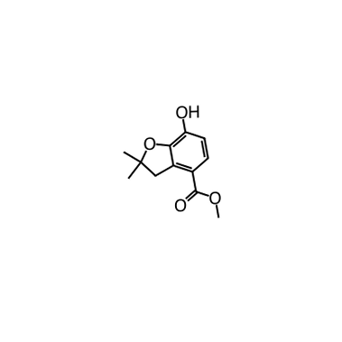 COC(=O)c1ccc(O)c2c1CC(C)(C)O2